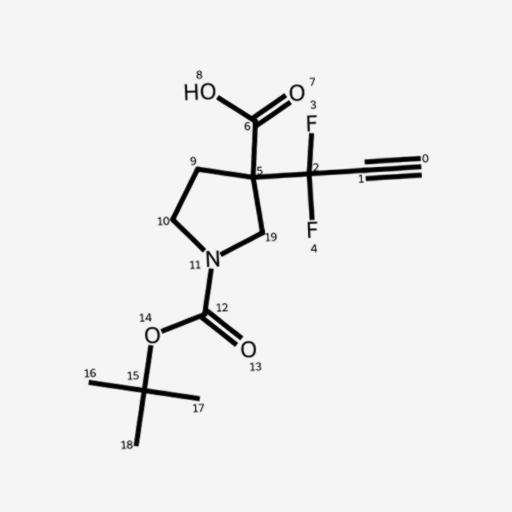 C#CC(F)(F)C1(C(=O)O)CCN(C(=O)OC(C)(C)C)C1